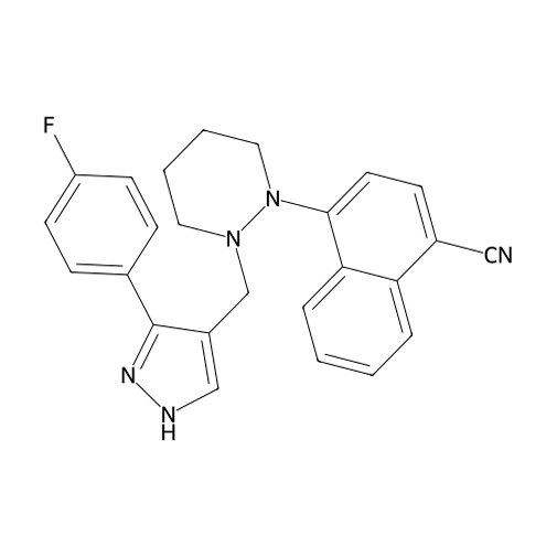 N#Cc1ccc(N2CCCCN2Cc2c[nH]nc2-c2ccc(F)cc2)c2ccccc12